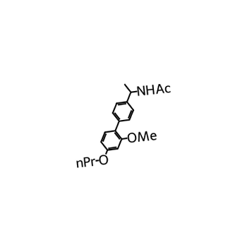 CCCOc1ccc(-c2ccc(C(C)NC(C)=O)cc2)c(OC)c1